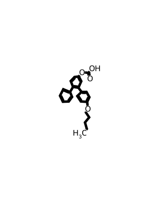 CCCCCOc1ccc(-c2cc(OC(=O)O)ccc2-c2ccccc2)cc1